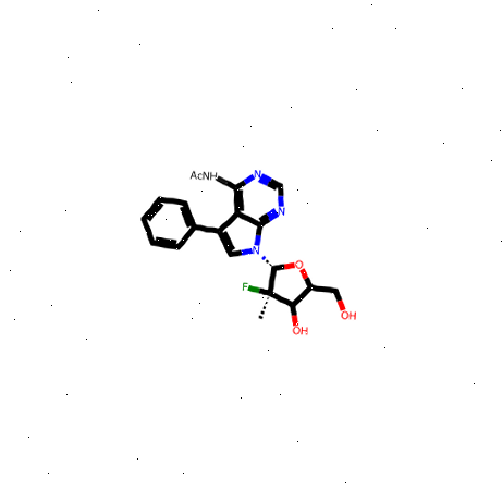 CC(=O)Nc1ncnc2c1c(-c1ccccc1)cn2[C@@H]1OC(CO)C(O)[C@@]1(C)F